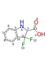 O=C(O)C1Nc2ccccc2C1(F)F